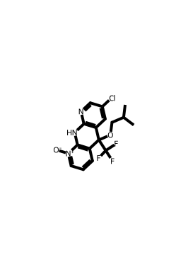 CC(C)COC1(C(F)(F)F)c2cc(Cl)cnc2Nc2c1ccc[n+]2[O-]